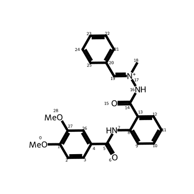 COc1ccc(C(=O)Nc2ccccc2C(=O)N[N+](C)=Cc2ccccc2)cc1OC